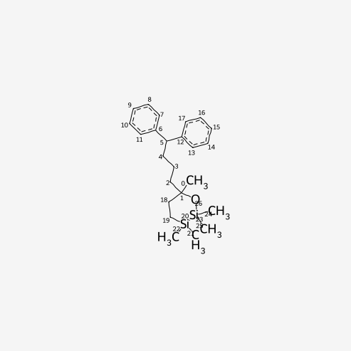 CC1(CCCC(c2ccccc2)c2ccccc2)CC[Si](C)(C)[Si](C)(C)O1